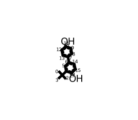 CC(C)(C)c1cc(-c2ccc(O)cc2)ccc1O